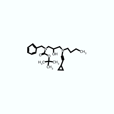 CCCCN(C#CC1CC1)CC(O)CN(Cc1ccccc1)C(=O)OC(C)(C)C